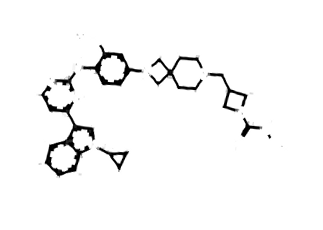 COc1cc(N2CC3(CCN(CC4CN(C(=O)OC(C)(C)C)C4)CC3)C2)ccc1Nc1nccc(-c2cn(C3CC3)c3ccccc23)n1